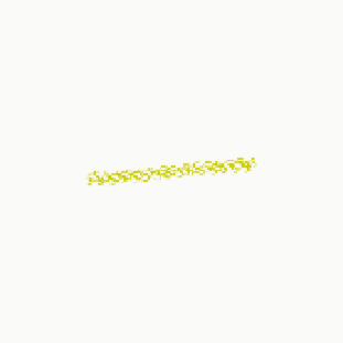 S=S=S=S=S=S=S=S=S=S=S=S=S=S=S=S=S=S=S=S=S=S=S=S=S=S=S=S=S=S